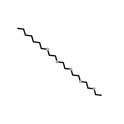 CCCCCCCOCCOCCOCCOCCOCC